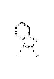 N#Cc1c(S)[nH]c2ccccc12